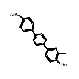 CCCCCCCCCCc1ccc(-c2ccc(-c3ccc(OC)cc3)cc2)cc1C